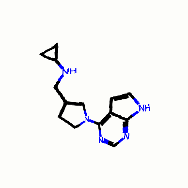 c1nc(N2CCC(CNC3CC3)C2)c2cc[nH]c2n1